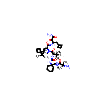 CC(C)(N)C(=O)NCC1(NC(=O)N[C@H](C(=O)N2C[C@]3(C[C@H]2C(=O)NC(CC2CCC2)C(=O)C(N)=O)C(C)(C)C32CCC2)C(C)(C)C)CCCCC1